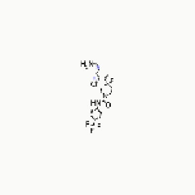 C=C(/C(Cl)=C\C=C/N)C1(F)CCN(C(=O)Nc2ccc(C(F)(F)F)cc2)CC1